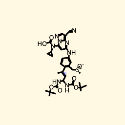 C/C(=C\C(NC(=O)OC(C)(C)C)NC(=O)OC(C)(C)C)c1ccc(Nc2cc(N(C(=O)O)C3CC3)n3ncc(C#N)c3n2)cc1C[S+](C)[O-]